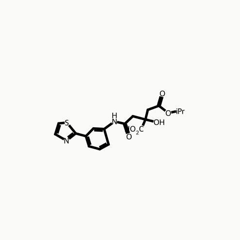 CC(C)OC(=O)CC(O)(CC(=O)Nc1cccc(-c2nccs2)c1)C(=O)O